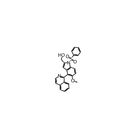 COc1ccc2c(cc(CO)n2S(=O)(=O)c2ccccc2)c1-c1nccc2ccccc12